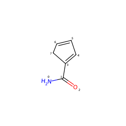 NC(=O)C1=CC=CC1